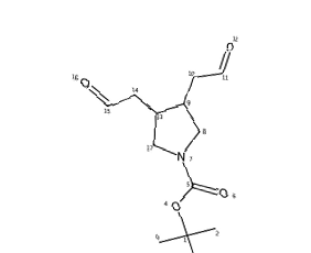 CC(C)(C)OC(=O)N1CC(CC=O)C(CC=O)C1